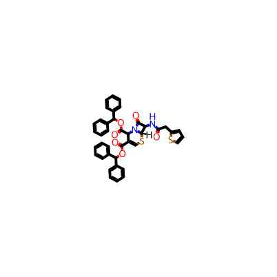 O=C(Cc1cccs1)NC1C(=O)N2C(C(=O)OC(c3ccccc3)c3ccccc3)C(C(=O)OC(c3ccccc3)c3ccccc3)=CS[C@@H]12